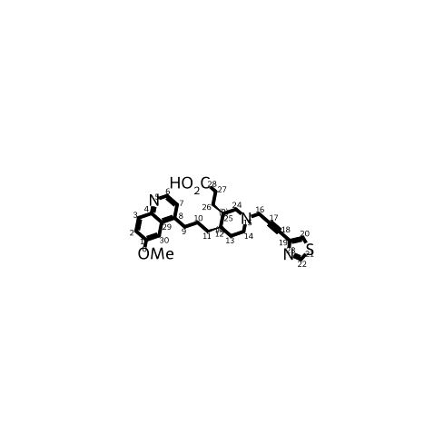 COc1ccc2nccc(CCC[C@@H]3CCN(CC#Cc4cscn4)C[C@@H]3CCC(=O)O)c2c1